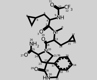 CN(C(=O)C(CC1CC1)NC(=O)C(F)(F)F)C(CC1CC1)C(=O)N1CC2(CC1C(N)=O)C(=O)NCc1ccccc12